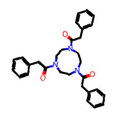 O=C(Cc1ccccc1)N1CCN(C(=O)Cc2ccccc2)CCN(C(=O)Cc2ccccc2)CC1